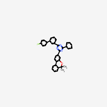 CC1(C)Oc2cc(-c3nc(-c4ccccc4)nc(-c4cccc(-c5ccc(F)cc5)c4)n3)ccc2-c2ccccc21